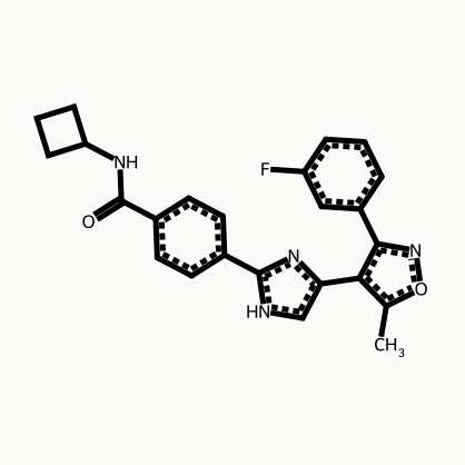 Cc1onc(-c2cccc(F)c2)c1-c1c[nH]c(-c2ccc(C(=O)NC3CCC3)cc2)n1